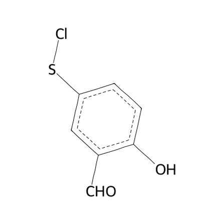 O=Cc1cc(SCl)ccc1O